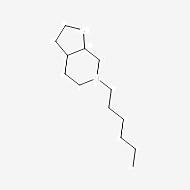 CCCCCCN1CCC2CCNC2C1